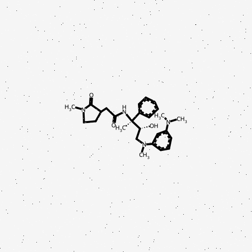 CN1CCC(CC(=O)N[C@@](C)(c2ccccc2)[C@H](O)CN(C)c2cccc(N(C)C)c2)C1=O